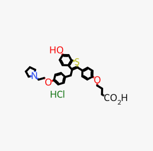 Cl.O=C(O)CCCOc1ccc(-c2sc3cc(O)ccc3c2Cc2ccc(OCCN3CCCC3)cc2)cc1